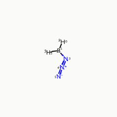 [2H]B([3H])N=[N+]=[N-]